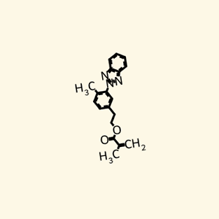 C=C(C)C(=O)OCCc1ccc(C)c(-n2nc3ccccc3n2)c1